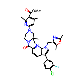 COC(=O)c1c(C)cc(N2CCN(C(=O)c3ccc4c(-c5ccc(Cl)c(F)c5)cn(Cc5nc(C)oc5C)c4n3)C(C)(C)C2)nc1C